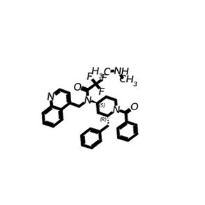 CNC.O=C(c1ccccc1)N1CC[C@H](N(Cc2ccnc3ccccc23)C(=O)C(F)(F)F)C[C@H]1Cc1ccccc1